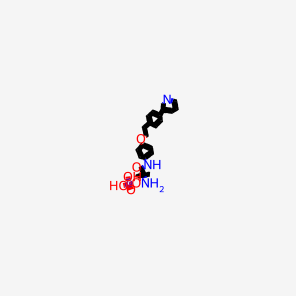 CC(N)(COP(=O)(O)O)C(=O)Nc1ccc(OCCc2ccc(-c3cccnc3)cc2)cc1